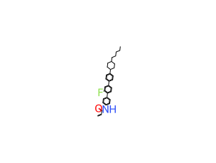 C=CC(=O)Nc1ccc(-c2ccc(-c3ccc(C4CCC(CCCCC)CC4)cc3)cc2F)cc1